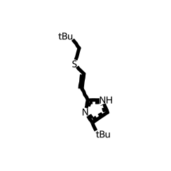 CC(C)(C)CSC=Cc1nc(C(C)(C)C)c[nH]1